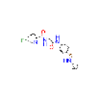 O=C(CNC(=O)c1ccc(F)cn1)Nc1ccc(SNC23CC(C2)C3)cc1